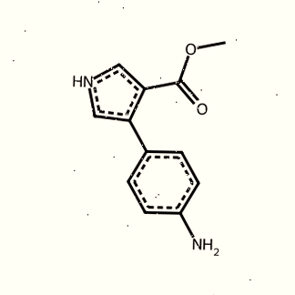 COC(=O)c1c[nH]cc1-c1ccc(N)cc1